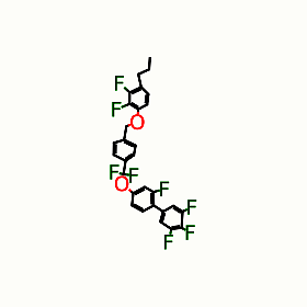 CCCc1ccc(OCc2ccc(C(F)(F)Oc3ccc(-c4cc(F)c(F)c(F)c4)c(F)c3)cc2)c(F)c1F